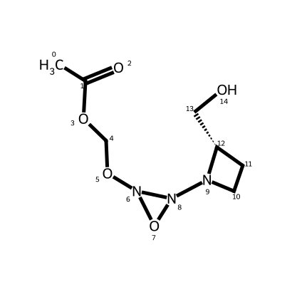 CC(=O)OCOn1on1N1CC[C@H]1CO